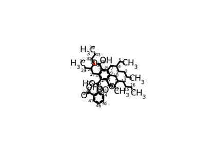 CCCCC(CC)Cc1c(CC(CC)CCCC)c(C(=O)O)c(C(=O)O)c(CC(CC)CCCC)c1C(=O)O.O=C(O)c1ccccc1